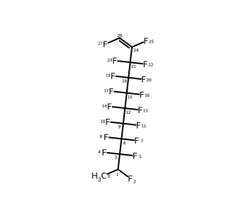 CC(F)C(F)(F)C(F)(F)C(F)(F)C(F)(F)C(F)(F)C(F)(F)C(F)(F)/C(F)=[C]\F